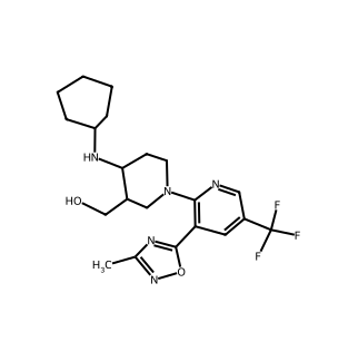 Cc1noc(-c2cc(C(F)(F)F)cnc2N2CCC(NC3CCCCC3)C(CO)C2)n1